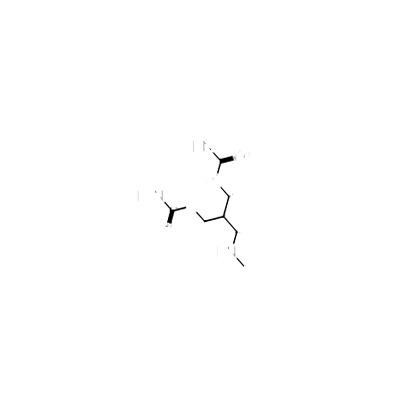 CNCC(CSC(N)=O)CSC(N)=O